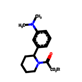 CCOC(=O)C(=O)N1CCCCC1c1cccc(N(C)C)c1